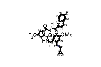 COc1ccc([C@H](C)NC(=O)[C@@H]2CC(C(F)(F)F)CN2C(=O)CNC(=O)c2ccc3cc(F)ccc3n2)c(/C=C/C2CC2)c1